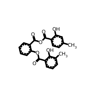 Cc1ccc(C(=O)OC(=O)c2ccccc2OC(=O)c2cccc(C)c2O)c(O)c1